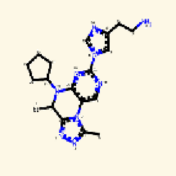 CCC1c2nnc(C)n2-c2cnc(-n3cnc(CCN)c3)nc2N1C1CCCC1